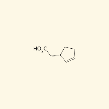 O=C(O)C[C@H]1C=CCC1